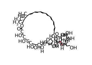 C[C@@H]1[C@H](O)[C@@H](C)/C=C/C=C/C=C/C=C/C=C/C=C/C=C/[C@H](O[C@@H]2O[C@H](C)[C@@H](O)[C@H](NC(=N)NO)[C@@H]2O)C[C@@H]2O[C@](O)(C[C@@H](O)C[C@@H](O)[C@H](O)CC[C@@H](O)C[C@@H](O)CC(=O)O[C@H]1C)C[C@H](O)[C@H]2NC(=O)NNC(=O)CCO